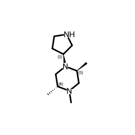 C[C@@H]1CN([C@H]2CCNC2)[C@@H](C)CN1C